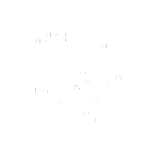 CCCCCc1cc2c(c(OP(=O)(N[C@@H](C)C(=O)OC(C)C)C(=O)OC(C)C)c1)[C@@H]1C=C(C)CC[C@H]1C(C)(C)O2